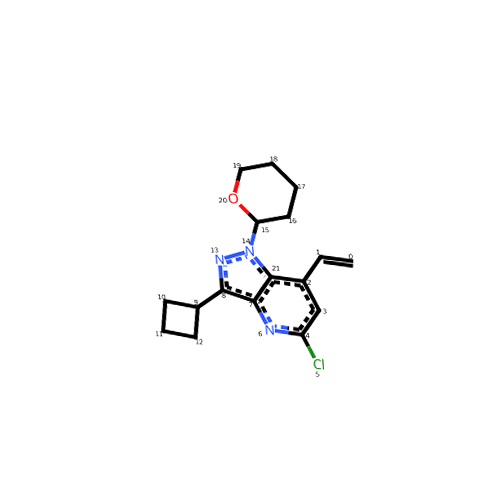 C=Cc1cc(Cl)nc2c(C3CCC3)nn(C3CCCCO3)c12